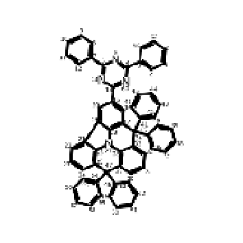 c1ccc(-c2nc(-c3ccccc3)nc(-c3cc4c5c(c3)c3cccc6c3n5-c3c(cccc3C4(c3ccccc3)c3ccccc3)C6(c3ccccc3)c3ccccc3)n2)cc1